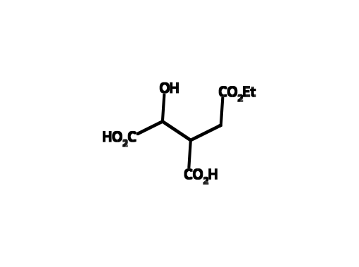 CCOC(=O)CC(C(=O)O)C(O)C(=O)O